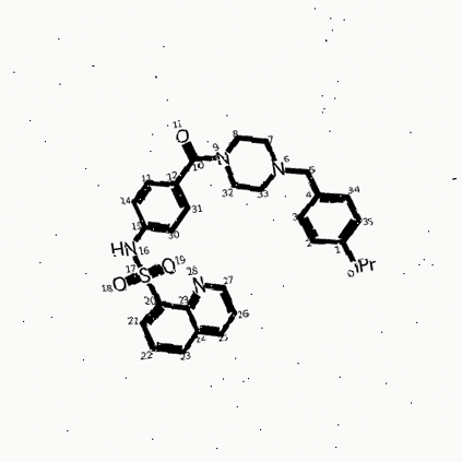 CC(C)c1ccc(CN2CCN(C(=O)c3ccc(NS(=O)(=O)c4cccc5cccnc45)cc3)CC2)cc1